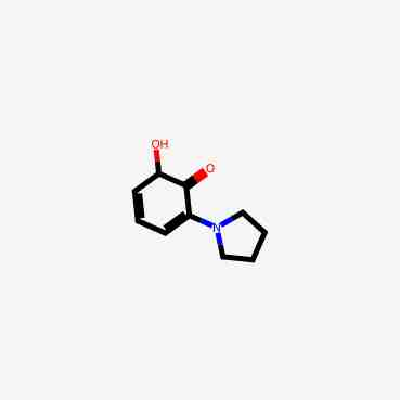 O=C1C(N2CCCC2)=[C]C=CC1O